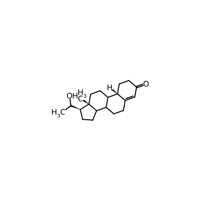 CC(O)[C@@H]1CCC2C3CCC4=CC(=O)CC[C@H]4C3CC[C@]21C